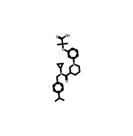 CC(C)c1ccc(CN(C(=O)C2CCCN(c3cccc(OC(C)(C)C(=O)O)c3)C2)C2CC2)cc1